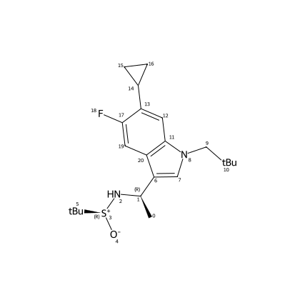 C[C@@H](N[S@@+]([O-])C(C)(C)C)c1cn(CC(C)(C)C)c2cc(C3CC3)c(F)cc12